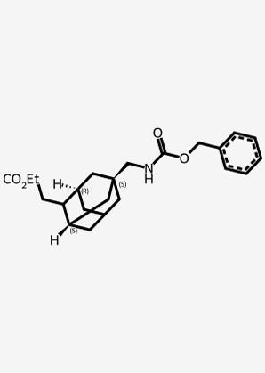 CCOC(=O)CC1[C@@H]2CC3C[C@H]1C[C@@](CNC(=O)OCc1ccccc1)(C3)C2